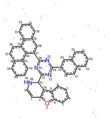 C1=Cc2oc3ccccc3c2C(c2nc(-c3ccc4ccccc4c3)nc(-c3cc4ccccc4c4ccc5ccccc5c34)n2)N1